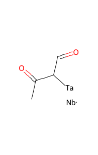 CC(=O)[CH]([Ta])C=O.[Nb]